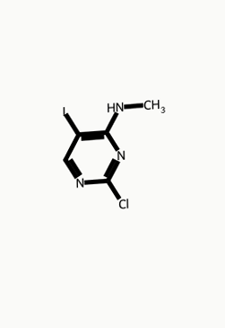 CNc1nc(Cl)ncc1I